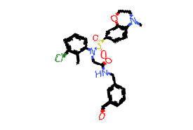 Cc1c(Cl)cccc1N(CC(=O)NCc1cccc(C=O)c1)S(=O)(=O)c1ccc2c(c1)OCCN2C